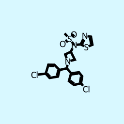 CS(=O)(=O)N(c1nccs1)C1CN(C(c2ccc(Cl)cc2)c2ccc(Cl)cc2)C1